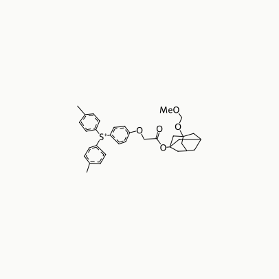 COCOC12CC3CC(C1)CC(OC(=O)COc1ccc([S+](c4ccc(C)cc4)c4ccc(C)cc4)cc1)(C3)C2